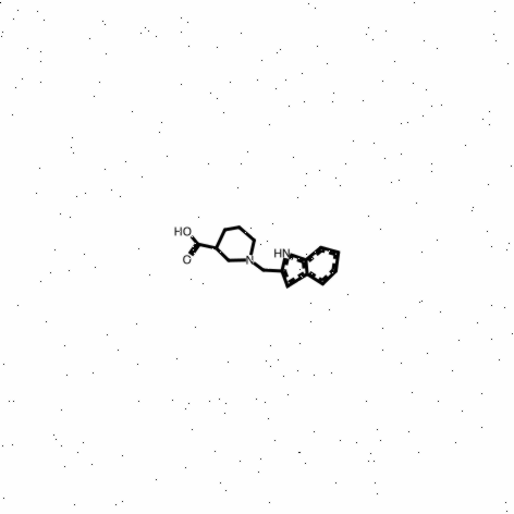 O=C(O)C1CCCN(Cc2cc3ccccc3[nH]2)C1